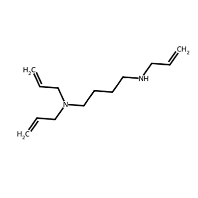 C=CCNCCCCN(CC=C)CC=C